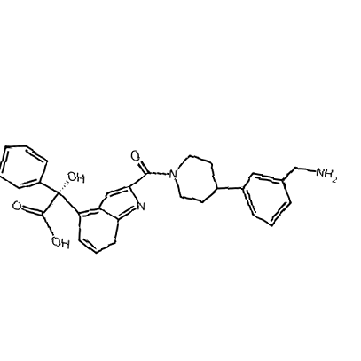 NCc1cccc(C2CCN(C(=O)C3=CC4=C([C@@](O)(C(=O)O)c5ccccc5)C=CCC4=N3)CC2)c1